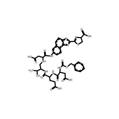 CC(C)C(CNC(CC(=O)O)C(=O)Nc1ccc2c(ccc3nc(C4=NC(C(=O)O)CS4)sc32)c1)NC(=O)C(CCC(=O)O)NC(=O)C(CC(=O)O)NC(=O)OCc1ccccc1